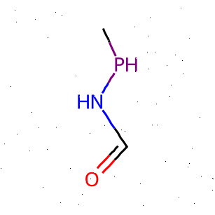 CPNC=O